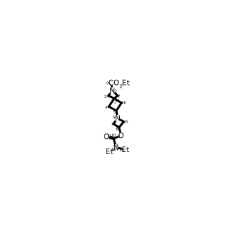 CCOC(=O)N1CC2(CC(N3CC(OC(=O)N(CC)CC)C3)C2)C1